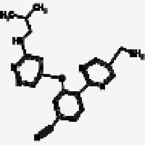 CC(C)CNc1cc(Oc2cc(C#N)ccc2-c2ncc(CN)cn2)cnn1